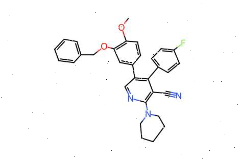 COc1ccc(-c2cnc(N3CCCCC3)c(C#N)c2-c2ccc(F)cc2)cc1OCc1ccccc1